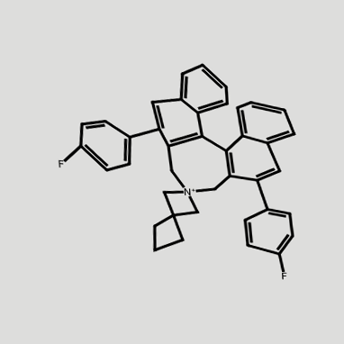 Fc1ccc(-c2cc3ccccc3c3c2C[N+]2(Cc4c(-c5ccc(F)cc5)cc5ccccc5c4-3)CC3(CCC3)C2)cc1